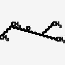 CCCCCCCCC(C)CCCCCCCC(=O)CCCCCCCC(CCCCCCCC)CCCCCCCC